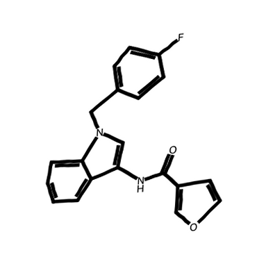 O=C(Nc1cn(Cc2ccc(F)cc2)c2ccccc12)c1ccoc1